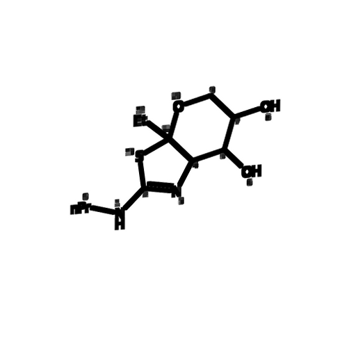 CCCNC1=NC2C(O)C(O)COC2(CC)S1